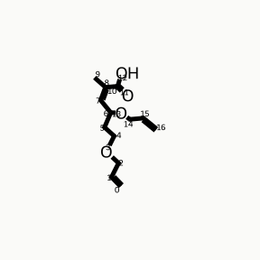 C=CCOCCC(C=C(C)C(=O)O)OCC=C